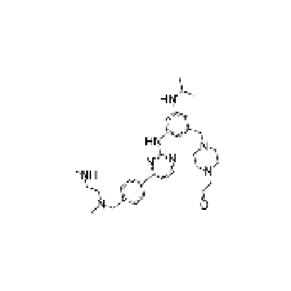 CNCCN(C)Cc1ccc(-c2ccnc(Nc3cc(CN4CCN(CC=O)CC4)cc(NC(C)C)c3)n2)cc1